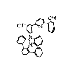 Oc1ccccc1-c1cccc(-c2cccc(-n3c[n+](-c4c(-c5ccccc5)cccc4-c4ccccc4)c4ccccc43)c2)n1.[Cl-]